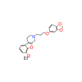 CCOc1cccc2c3c(oc12)CN(CCCOc1ccc2c(c1)OCO2)CC3